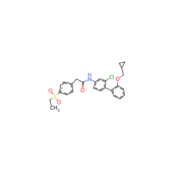 CCS(=O)(=O)c1ccc(CC(=O)Nc2ccc(-c3ccccc3OCC3CC3)c(Cl)c2)cc1